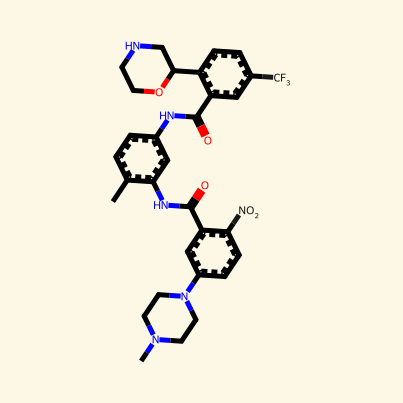 Cc1ccc(NC(=O)c2cc(C(F)(F)F)ccc2C2CNCCO2)cc1NC(=O)c1cc(N2CCN(C)CC2)ccc1[N+](=O)[O-]